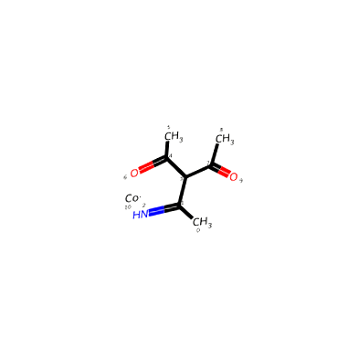 CC(=N)C(C(C)=O)C(C)=O.[Co]